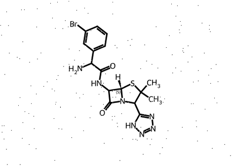 CC1(C)S[C@H]2C(NC(=O)C(N)c3cccc(Br)c3)C(=O)N2C1c1nnn[nH]1